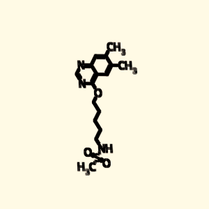 Cc1cc2ncnc(OCCCCCNS(C)(=O)=O)c2cc1C